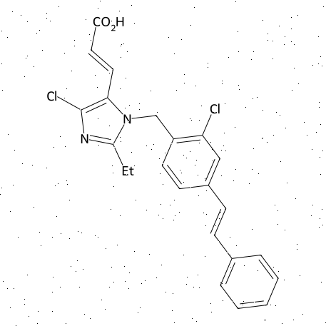 CCc1nc(Cl)c(/C=C/C(=O)O)n1Cc1ccc(/C=C/c2ccccc2)cc1Cl